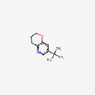 CC(C)(C)c1cnc2c(c1)OCCC2